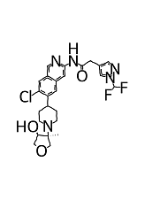 C[C@]1(N2CCC(c3cc4cc(NC(=O)Cc5cnn(C(F)F)c5)ncc4cc3Cl)CC2)COC[C@H]1O